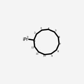 [CH2]C(C)C1CCCCCCCCCCC1